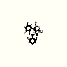 Cc1cc(F)c2c(c1)-c1[nH]nc(Cl)c1NC(c1c(F)cccc1F)=N2